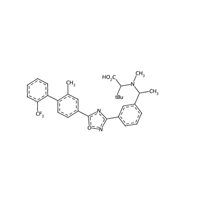 Cc1cc(-c2nc(-c3cccc(C(C)N(C)C(C(=O)O)C(C)(C)C)c3)no2)ccc1-c1ccccc1C(F)(F)F